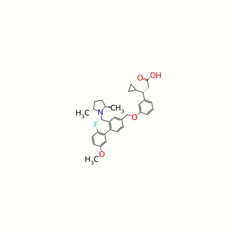 COc1ccc(F)c(-c2ccc(COc3cccc([C@@H](CC(=O)O)C4CC4)c3)cc2CN2[C@H](C)CC[C@H]2C)c1